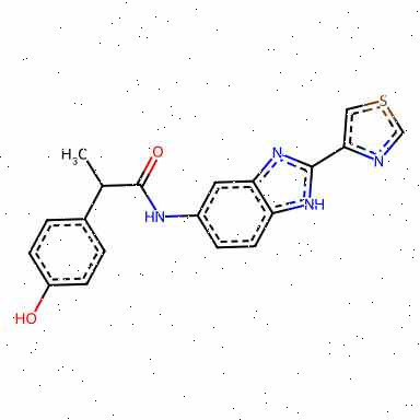 CC(C(=O)Nc1ccc2[nH]c(-c3cscn3)nc2c1)c1ccc(O)cc1